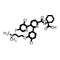 CN(C)CCCOc1cc(-c2nc(C(=O)NC3(C(=O)O)CCCCC3)ccc2-c2ncc(F)cc2Cl)ccc1Cl